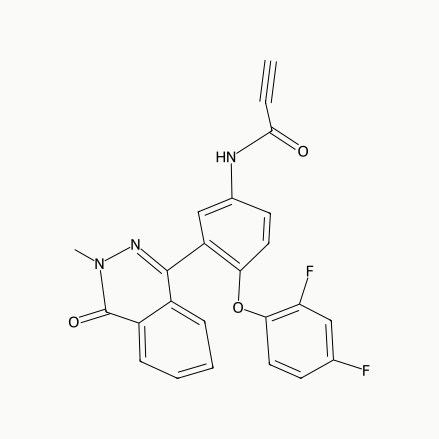 C#CC(=O)Nc1ccc(Oc2ccc(F)cc2F)c(-c2nn(C)c(=O)c3ccccc23)c1